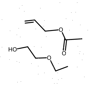 C=CCOC(C)=O.CCOCCO